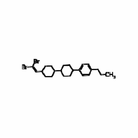 CCCc1ccc(C2CCC(C3CCC(C=C(Br)Br)CC3)CC2)cc1